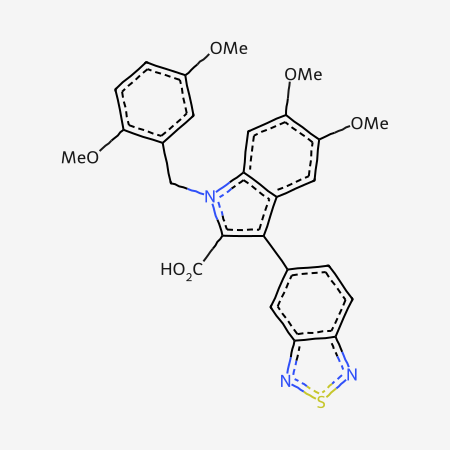 COc1ccc(OC)c(Cn2c(C(=O)O)c(-c3ccc4nsnc4c3)c3cc(OC)c(OC)cc32)c1